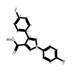 COC(=O)c1cn(-c2ccc(Br)cc2)cc1-c1ccc(F)cc1